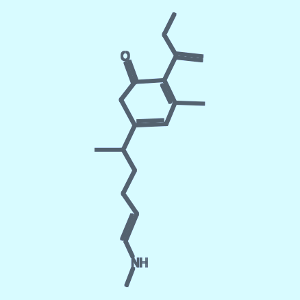 C=C(CC)C1=C(C)C=C(C(C)CC/C=C/NC)CC1=O